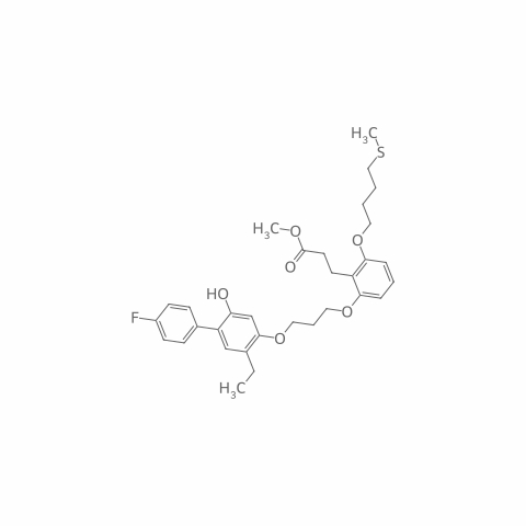 CCc1cc(-c2ccc(F)cc2)c(O)cc1OCCCOc1cccc(OCCCCSC)c1CCC(=O)OC